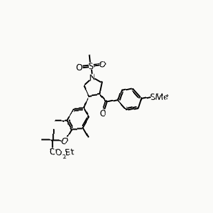 CCOC(=O)C(C)(C)Oc1c(C)cc([C@H]2CN(S(C)(=O)=O)CC2C(=O)c2ccc(SC)cc2)cc1C